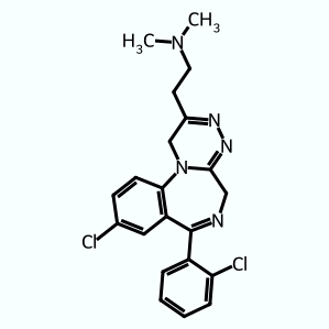 CN(C)CCC1=NN=C2CN=C(c3ccccc3Cl)c3cc(Cl)ccc3N2C1